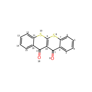 O=c1c2ccccc2sc2sc3ccccc3c(=O)c12